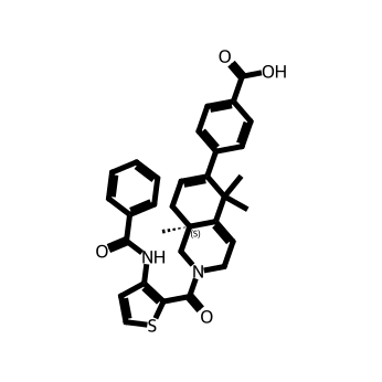 CC1(C)C(c2ccc(C(=O)O)cc2)=CC[C@]2(C)CN(C(=O)c3sccc3NC(=O)c3ccccc3)CC=C12